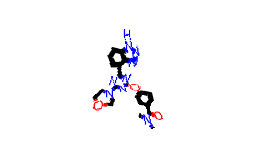 CN(C)C(=O)c1ccc(Oc2nc(-c3cccc4[nH]nnc34)nc(N3CCOCC3)n2)cc1